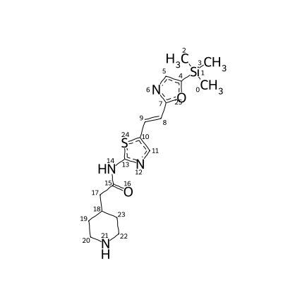 C[Si](C)(C)c1cnc(C=Cc2cnc(NC(=O)CC3CCNCC3)s2)o1